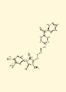 CC1=C(CCCCCN2CCN(C(=O)c3ccncc3)CC2)C(=O)N(c2ccc(C#N)c(C(F)(F)F)c2)C1=O